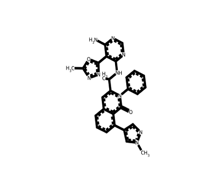 Cc1nnc(-c2c(N)ncnc2NC(C)c2cc3cccc(-c4cnn(C)c4)c3c(=O)n2-c2ccccc2)o1